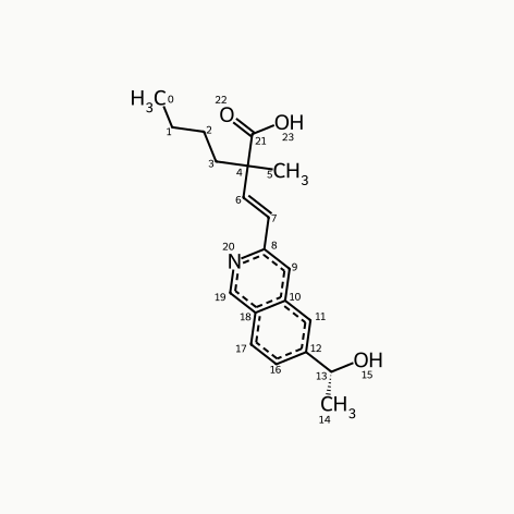 CCCCC(C)(/C=C/c1cc2cc([C@@H](C)O)ccc2cn1)C(=O)O